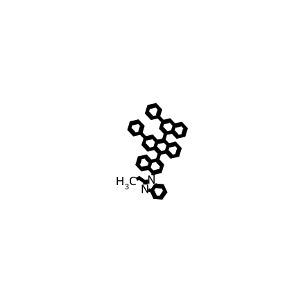 CCc1nc2ccccc2n1-c1ccc(-c2c3ccccc3c(-c3cc(-c4ccccc4)cc4ccccc34)c3cc(-c4ccccc4)ccc23)c2ccccc12